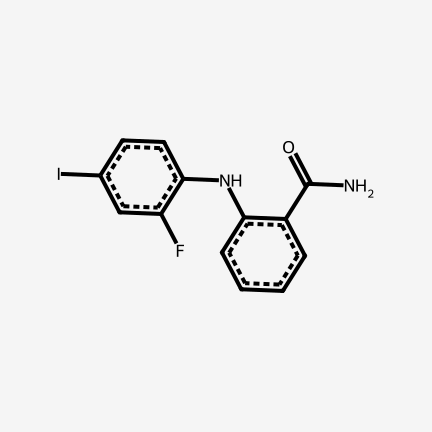 NC(=O)c1ccccc1Nc1ccc(I)cc1F